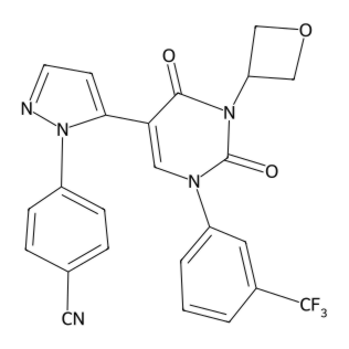 N#Cc1ccc(-n2nccc2-c2cn(-c3cccc(C(F)(F)F)c3)c(=O)n(C3COC3)c2=O)cc1